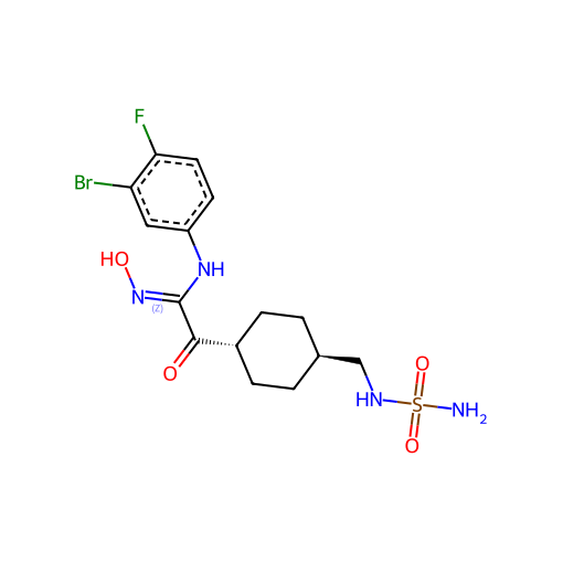 NS(=O)(=O)NC[C@H]1CC[C@H](C(=O)/C(=N/O)Nc2ccc(F)c(Br)c2)CC1